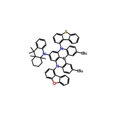 CC(C)(C)c1ccc2c(c1)B1c3cc(C(C)(C)C)ccc3N(c3cccc4sc5ccccc5c34)c3cc(N4c5ccccc5C(C)(C)C5(C)CCCCC45C)cc(c31)N2c1cccc2oc3ccccc3c12